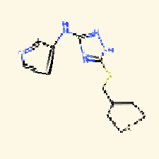 c1cncc(Nc2n[nH]c(SCC3CCCCC3)n2)c1